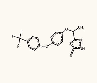 CC(Oc1ccc(Oc2ccc(C(F)(F)F)cc2)cc1)c1n[nH]c(=S)s1